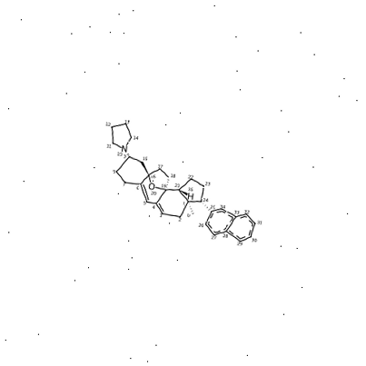 C[C@]12CC=C3C=C4CC[C@H](N5CCCC5)C[C@]45CC[C@]3(O5)[C@@H]1CC[C@@H]2c1ccc2ccccc2c1